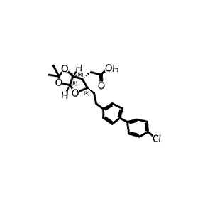 CC1(C)O[C@H]2O[C@H](CCc3ccc(-c4ccc(Cl)cc4)cc3)[C@@H](CC(=O)O)[C@H]2O1